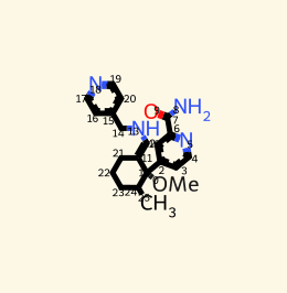 COC1(c2ccnc(C(N)=O)c2)/C(=C/NCc2ccncc2)CCCC1C